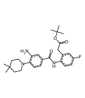 CC1(C)CCN(c2ccc(C(=O)Nc3ccc(F)cc3CC(=O)OC(C)(C)C)cc2N)CC1